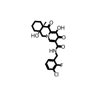 C[C@]12CCCC[C@@]1(O)Cn1cc(C(=O)NCc3cccc(Cl)c3F)c(=O)c(O)c1C2=O